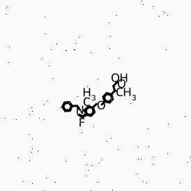 Cc1c(COc2ccc(C(C)CC(=O)O)cc2)ccc2c(F)cn(Cc3ccccc3)c12